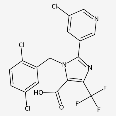 O=C(O)c1c(C(F)(F)F)nc(-c2cncc(Cl)c2)n1Cc1cc(Cl)ccc1Cl